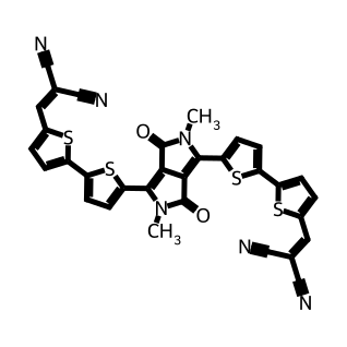 CN1C(=O)C2=C(c3ccc(-c4ccc(C=C(C#N)C#N)s4)s3)N(C)C(=O)C2=C1c1ccc(-c2ccc(C=C(C#N)C#N)s2)s1